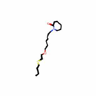 CCCCSCCOCCCCCN1CCCCCC1=O